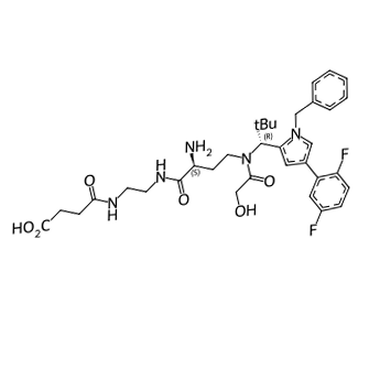 CC(C)(C)[C@H](c1cc(-c2cc(F)ccc2F)cn1Cc1ccccc1)N(CC[C@H](N)C(=O)NCCNC(=O)CCC(=O)O)C(=O)CO